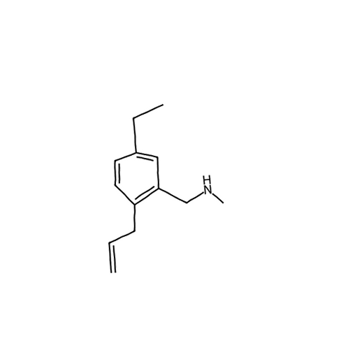 C=CCc1ccc(CC)cc1CNC